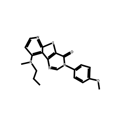 CCCN(C)c1ccnc2sc3c(=O)n(-c4ccc(OC)cc4)cnc3c12